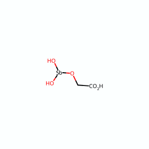 O=C(O)C[O][Sb]([OH])[OH]